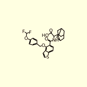 O=C(NC(C(=O)O)C12CC3CC(CC(C3)C1)C2)c1ccc2sccc2c1OCc1ccc(OC(F)F)cc1